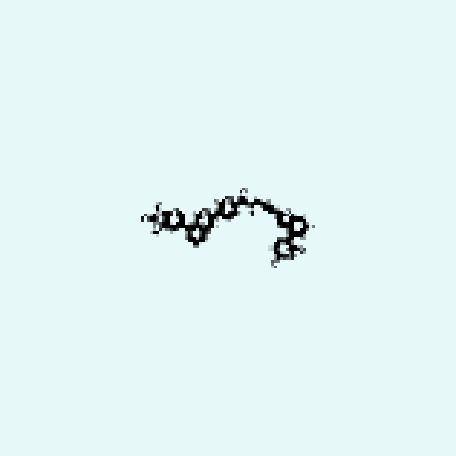 Cn1c(=O)n(C)c2ncc(-c3cccc4cc(-c5ccc(C(=O)NCC#Cc6cc7c(C8CCC(=O)NC8=O)cccc7o6)nc5)ncc34)cc21